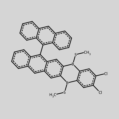 CSB1c2cc(Cl)c(Cl)cc2B(SC)c2cc3c(-c4c5ccccc5cc5ccccc45)c4ccccc4cc3cc21